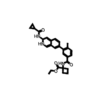 CCOC(=O)C1(NC(=O)c2ccc(C)c(-c3ccc4c(c3)=CNC(NC(=O)C3CC3)C=4)c2)CCC1